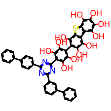 Oc1c(O)c(-c2c(O)c(O)c3c(sc4c(O)c(O)c(O)c(O)c43)c2O)c(O)c(O)c1-c1nc(-c2ccc(-c3ccccc3)cc2)nc(-c2cccc(-c3ccccc3)c2)n1